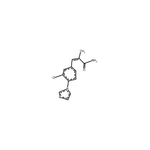 CC(=Cc1ccc(-n2ccnc2)c(Cl)c1)C(N)=O